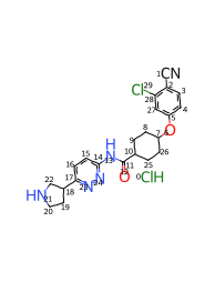 Cl.N#Cc1ccc(OC2CCC(C(=O)Nc3ccc(C4CCNC4)nn3)CC2)cc1Cl